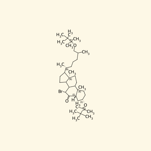 CC(CCC[C@@H](C)C1CCC2C3C(Br)C(=O)[C@H]4C[C@@H](O[Si](C)(C)C(C)(C)C)CC[C@]4(C)C3CC[C@@]21C)CO[Si](C)(C)C(C)(C)C